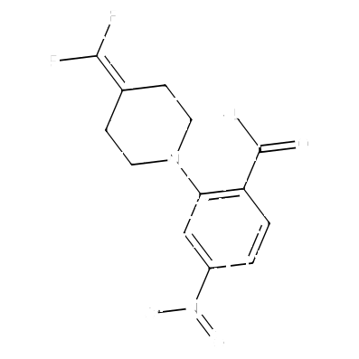 O=C(Cl)c1ccc([N+](=O)[O-])cc1N1CCC(=C(F)F)CC1